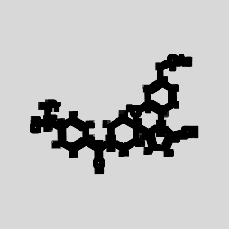 CC(=O)OCc1ccc2c(c1)OC1(CCN(C(=O)c3ccc([S+]([O-])C(C)C)cc3)CC1)c1ccc(C#N)n1-2